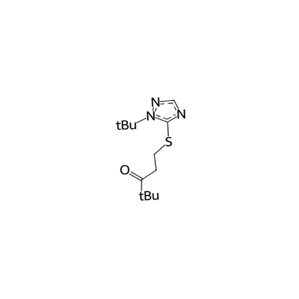 CC(C)(C)C(=O)CCSc1ncnn1C(C)(C)C